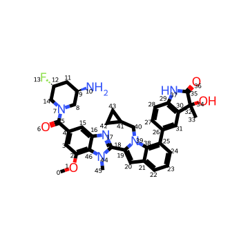 COc1cc(C(=O)N2C[C@H](N)C[C@@H](F)C2)cc2nc(-c3cc4cccc(-c5ccc6c(c5)C(C)(O)C(=O)N6)c4n3CC3CC3)n(C)c12